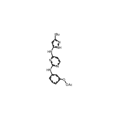 CC(=O)OOc1cccc(Nc2nccc(Nc3cc(C(C)(C)C)n[nH]3)n2)c1